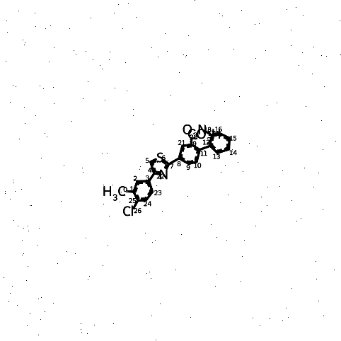 Cc1cc(-c2csc(-c3ccc(-c4ccccc4[N+](=O)[O-])c(C(=O)O)c3)n2)ccc1Cl